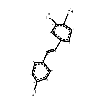 Oc1ccc(/C=C/c2ccc(Cl)cc2)cc1O